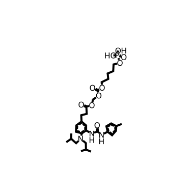 Cc1ccc(NC(=O)Nc2cc(CCC(=O)OCOC(=O)OCCCCCOP(=O)(O)O)ccc2N(CC(C)C)CC(C)C)cc1